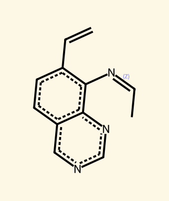 C=Cc1ccc2cncnc2c1/N=C\C